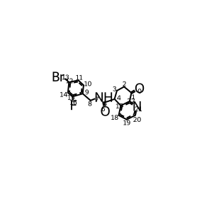 O=C1CCC(C(=O)NCc2ccc(Br)cc2F)c2cccnc21